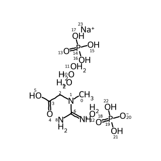 CN(CC(=O)O)C(=N)N.O.O.O.O.O=P(O)(O)O.O=P([O-])(O)O.[Na+]